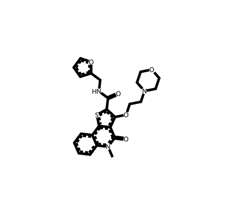 Cn1c(=O)c2c(OCCN3CCOCC3)c(C(=O)NCc3ccco3)sc2c2ccccc21